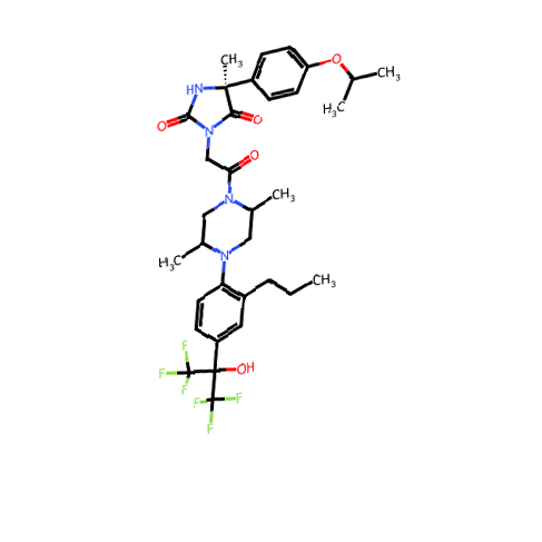 CCCc1cc(C(O)(C(F)(F)F)C(F)(F)F)ccc1N1CC(C)N(C(=O)CN2C(=O)N[C@@](C)(c3ccc(OC(C)C)cc3)C2=O)CC1C